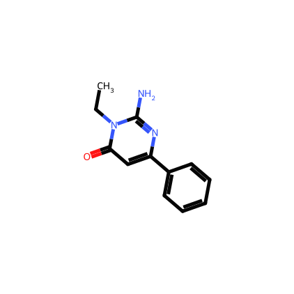 CCn1c(N)nc(-c2ccccc2)cc1=O